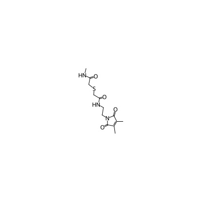 CNC(=O)CSCC(=O)NCCN1C(=O)C(C)=C(C)C1=O